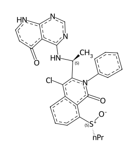 CCC[S@@+]([O-])c1cccc2c(Cl)c([C@H](C)Nc3ncnc4[nH]ccc(=O)c34)n(-c3ccccc3)c(=O)c12